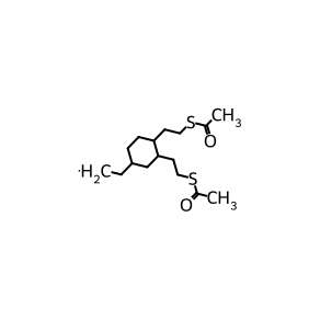 [CH2]CC1CCC(CCSC(C)=O)C(CCSC(C)=O)C1